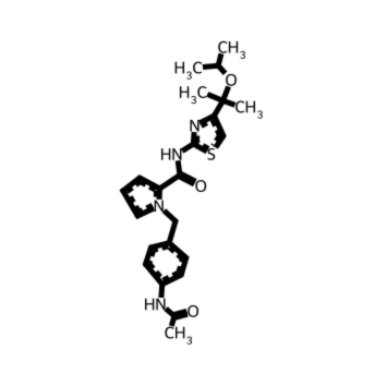 CC(=O)Nc1ccc(Cn2cccc2C(=O)Nc2nc(C(C)(C)OC(C)C)cs2)cc1